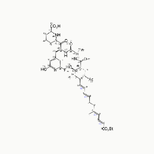 CCOC(=O)/C=C/C=C(\C)CC/C=C/C=C/C[C@H](C)[C@@H](O)[C@@H](CCC(C)=O)C(=O)N[C@H](C(=O)N[C@@H](Cc1cc(O)cc(F)c1)C(=O)N1CCCC(C(=O)O)N1)C(C)C